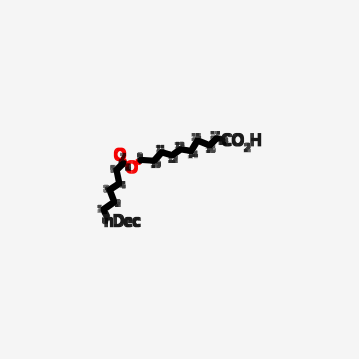 CCCCCCCCCCCCCCCC(=O)OCCCCCCCCCC(=O)O